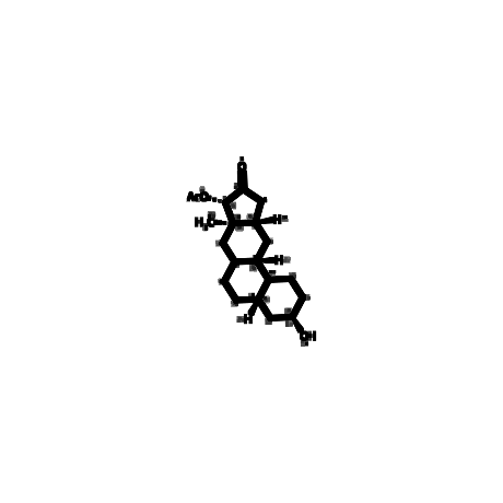 CC(=O)O[C@@H]1C(=O)C[C@@H]2C[C@H]3C(CC[C@H]4C[C@H](O)CCC43)C[C@]21C